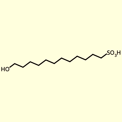 O=S(=O)(O)CCCCCCCCCCCCO